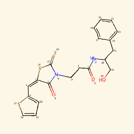 O=C(CCN1C(=O)/C(=C\c2cccs2)SC1=S)NC(CO)Cc1ccccc1